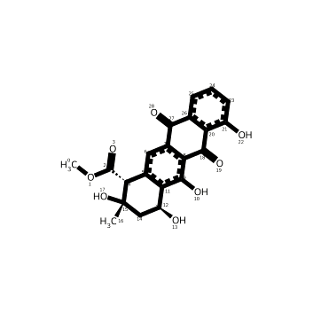 COC(=O)[C@@H]1c2cc3c(c(O)c2[C@@H](O)C[C@]1(C)O)C(=O)c1c(O)cccc1C3=O